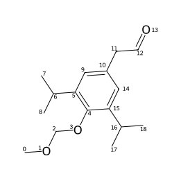 COCOc1c(C(C)C)cc(CC=O)cc1C(C)C